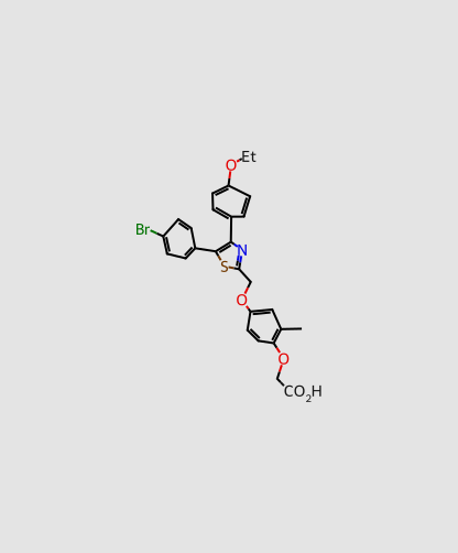 CCOc1ccc(-c2nc(COc3ccc(OCC(=O)O)c(C)c3)sc2-c2ccc(Br)cc2)cc1